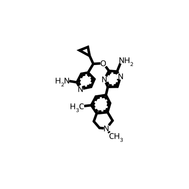 Cc1cc(-c2cnc(N)c(OC(c3ccnc(N)c3)C3CC3)n2)cc2c1CCN(C)C2